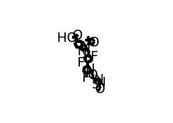 COc1nnc(COc2nc(-c3cc(F)c(Cc4nc5ccc(C(=O)O)cc5n4[C@@H]4COCC4(C)C)cc3F)ccc2F)s1